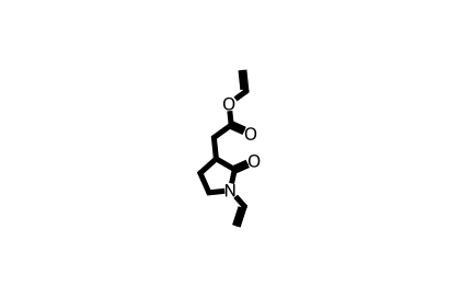 C=COC(=O)CC1CCN(C=C)C1=O